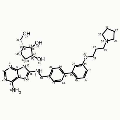 Nc1ncnc2c1nc(NCc1ccc(-c3cccc(OCCCN4CCCC4)c3)cc1)n2[C@@H]1O[C@H](CO)[C@@H](O)[C@H]1O